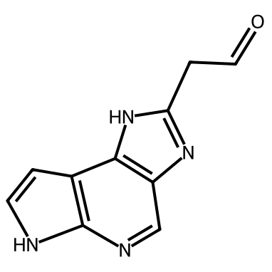 O=CCc1nc2cnc3[nH]ccc3c2[nH]1